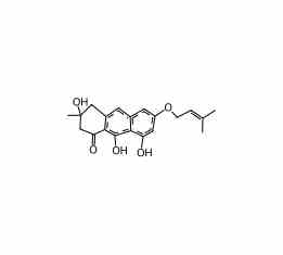 CC(C)=CCOc1cc(O)c2c(O)c3c(cc2c1)CC(C)(O)CC3=O